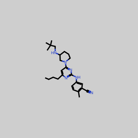 CCCCc1cc(N2CCCC(NCC(C)(C)C)C2)nc(Nc2ccc(C)c(C#N)c2)n1